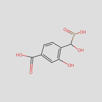 O=C(O)c1ccc(C(O)S(=O)O)c(O)c1